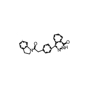 O=C(Cc1ccc(-c2n[nH]c(=O)c3ccccc23)cc1)N1CCc2cc[c]cc21